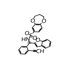 C#Cc1ccccc1[C@@H](NS(=O)(=O)c1ccc2c(c1)OCCCO2)c1cc2ccccc2o1